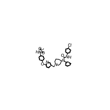 CS(=O)(=O)Nc1ccc(Oc2ccc(CN3CCC[C@H](N(C(=O)Nc4ccc(Cl)cc4)c4ccccc4)CC3)cn2)cc1